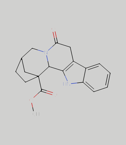 COC(=O)C12CCC(CN3C(=O)Cc4c([nH]c5ccccc45)C31)C2